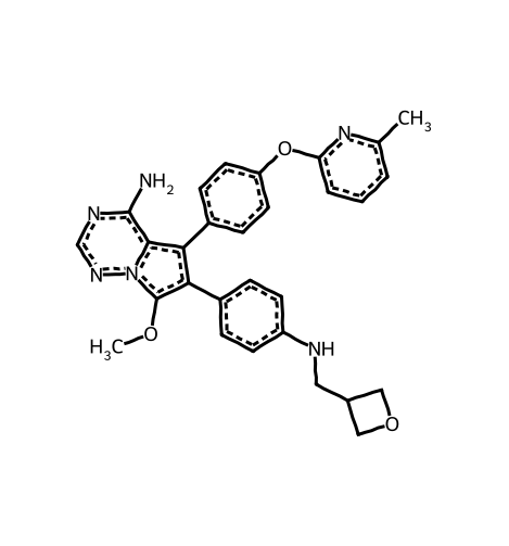 COc1c(-c2ccc(NCC3COC3)cc2)c(-c2ccc(Oc3cccc(C)n3)cc2)c2c(N)ncnn12